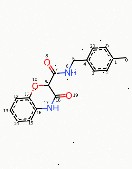 Cc1ccc(CNC(=O)C2Oc3ccccc3NC2=O)cc1